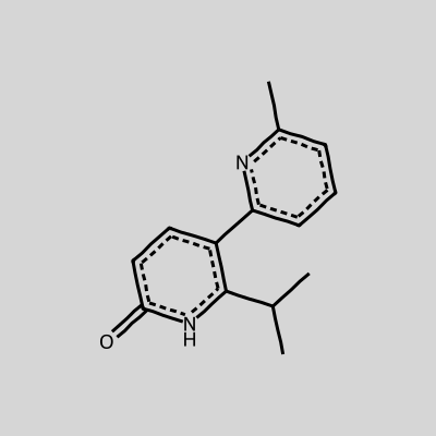 Cc1cccc(-c2ccc(=O)[nH]c2C(C)C)n1